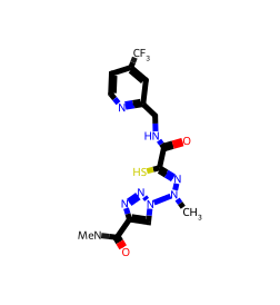 CNC(=O)c1cn(N(C)/N=C(\S)C(=O)NCc2cc(C(F)(F)F)ccn2)nn1